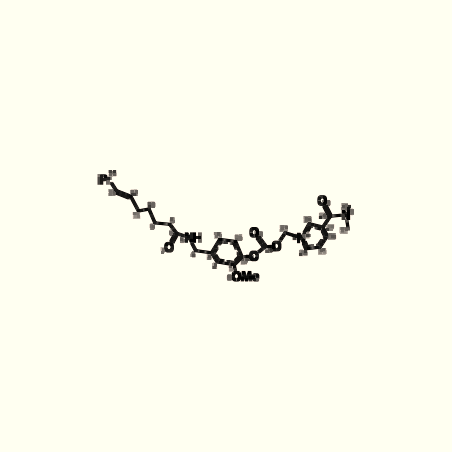 COc1cc(CNC(=O)CCCC/C=C/C(C)C)ccc1OC(=O)OC[n+]1cccc(C(=O)N(C)C)c1